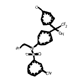 CC(C)CN(c1ccc(C(O)(c2ccc(Cl)cc2)C(F)(F)F)cc1)S(=O)(=O)c1cccc(C#N)c1